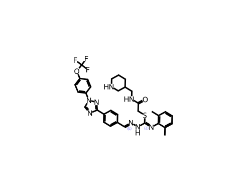 Cc1cccc(C)c1/N=C(/N/N=C/c1ccc(-c2ncn(-c3ccc(OC(F)(F)F)cc3)n2)cc1)SCC(=O)NCC1CCCNC1